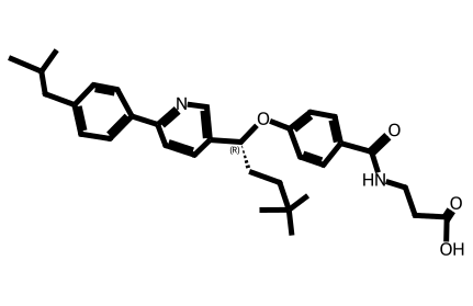 CC(C)Cc1ccc(-c2ccc([C@@H](CCC(C)(C)C)Oc3ccc(C(=O)NCCC(=O)O)cc3)cn2)cc1